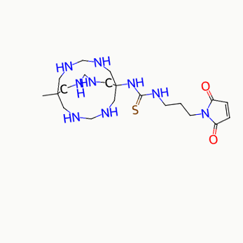 CC12CNCNCC(NC(=S)NCCCN3C(=O)C=CC3=O)(CNCNC1)CNCNC2